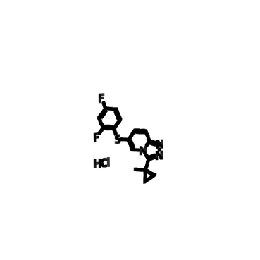 CC1(c2nnc3ccc(Sc4ccc(F)cc4F)cn23)CC1.Cl